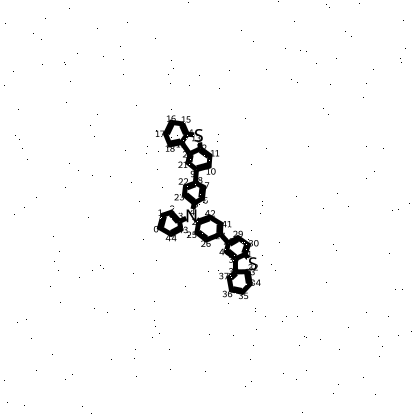 c1ccc(N(c2ccc(-c3ccc4sc5ccccc5c4c3)cc2)c2ccc(-c3ccc4sc5ccccc5c4c3)cc2)cc1